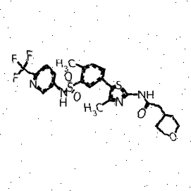 Cc1ccc(-c2sc(NC(=O)CC3CCOCC3)nc2C)cc1S(=O)(=O)Nc1ccc(C(F)(F)F)nc1